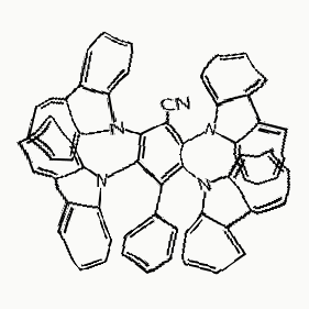 N#Cc1c(-n2c3ccccc3c3ccccc32)c(-n2c3ccccc3c3ccccc32)c(-c2ccccc2)c(-n2c3ccccc3c3ccccc32)c1-n1c2ccccc2c2ccccc21